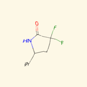 CC(C)C1CC(F)(F)C(=O)N1